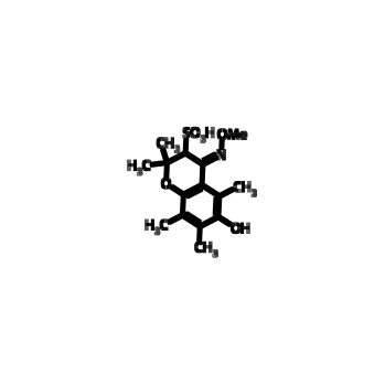 CON=C1c2c(C)c(O)c(C)c(C)c2OC(C)(C)C1S(=O)(=O)O